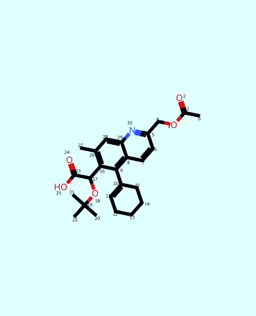 CC(=O)OCc1ccc2c(C3=CCCCC3)c(C(OC(C)(C)C)C(=O)O)c(C)cc2n1